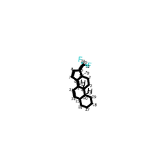 C[C@]12CC[C@H]3C(=C1C=CC2=C(F)F)C=CC1CCCC[C@@H]13